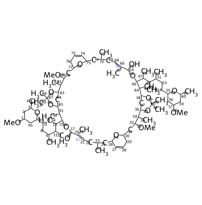 COC1CC(C)OC(CCC(C)C(C)C(C)C2OC(=O)/C(C)=C/CC(C)CC3C=CCC(CC(OC)C(C)C4CC(OC(C)(C)O4)C(C)C(C(C)C(C)C(C)CCC4CC(OC)CC(C)O4)OC(O)/C(C)=C/CC(C)CC4C=CCC(CC(OC)C(C)C5CC(OC(C)(C)O5)C2C)O4)O3)C1